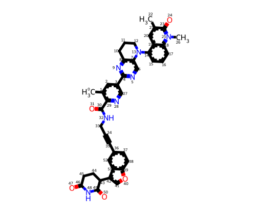 Cc1cc(-c2ncc3c(n2)CCCN3c2cccc3c2cc(C)c(=O)n3C)cnc1C(=O)NCC#Cc1ccc2occ(C3CCC(=O)NC3=O)c2c1